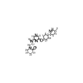 Cc1ccc(-c2ccc(Oc3cncc(N(C)CCN4CCCCC4=O)n3)cc2)nc1